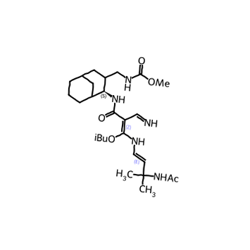 COC(=O)NCC1CC2CCCC(C2)[C@@H]1NC(=O)/C(C=N)=C(/N/C=C/C(C)(C)NC(C)=O)OCC(C)C